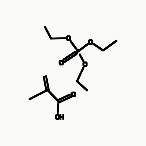 C=C(C)C(=O)O.CCOP(=O)(OCC)OCC